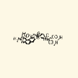 Nc1nc2ccc3ccc(NS(=O)(=O)c4ccc(C(=O)N[C@@H](CCC(=O)O)C(=O)O)cc4)cc3c2c(=O)[nH]1